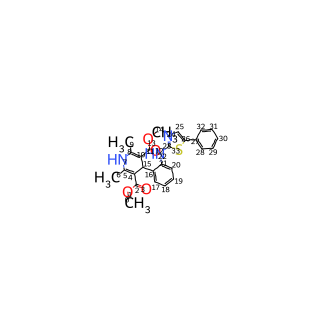 COC(=O)C1=C(C)NC(C)=C(C(=O)OC)C1c1ccccc1Nc1ncc(-c2ccccc2)s1